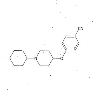 N#Cc1ccc(OC2CCN(C3CCCCC3)CC2)cc1